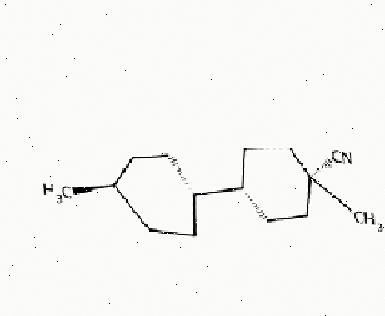 C[C@H]1CC[C@H]([C@H]2CC[C@@](C)(C#N)CC2)CC1